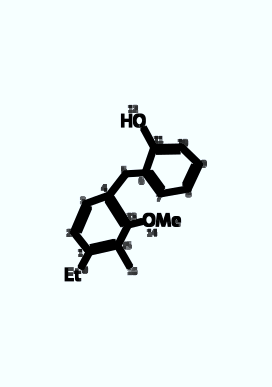 CCc1ccc(Cc2ccccc2O)c(OC)c1C